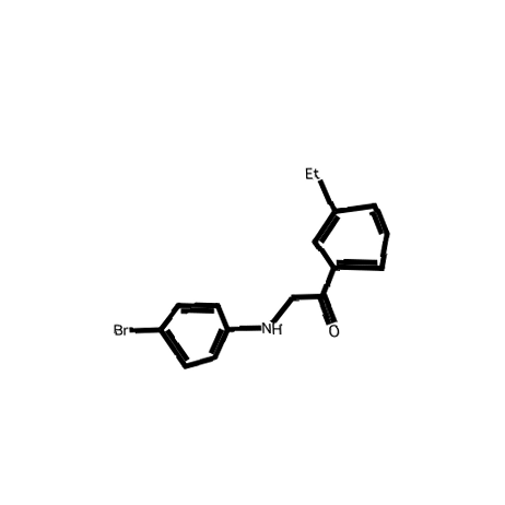 CCc1cccc(C(=O)CNc2ccc(Br)cc2)c1